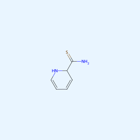 NC(=S)C1C=CC=CN1